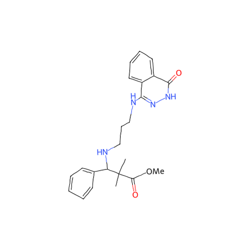 COC(=O)C(C)(C)C(NCCCNc1n[nH]c(=O)c2ccccc12)c1ccccc1